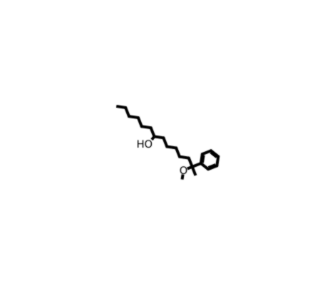 CCCCCCC(O)CCCCCC(C)(OC)c1ccccc1